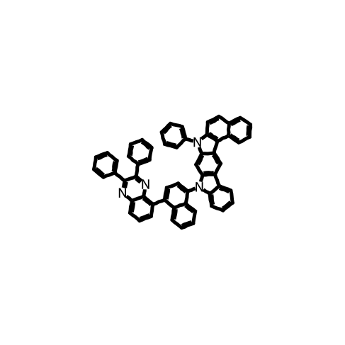 c1ccc(-c2nc3cccc(-c4ccc(-n5c6ccccc6c6cc7c8c9ccccc9ccc8n(-c8ccccc8)c7cc65)c5ccccc45)c3nc2-c2ccccc2)cc1